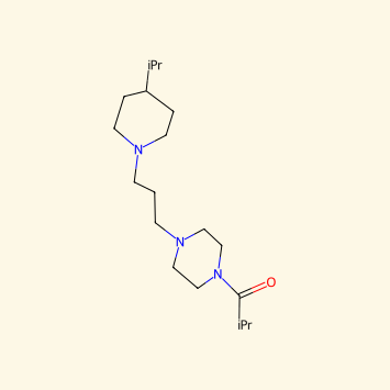 CC(C)C(=O)N1CCN(CCCN2CCC(C(C)C)CC2)CC1